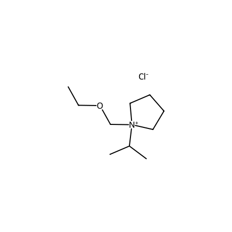 CCOC[N+]1(C(C)C)CCCC1.[Cl-]